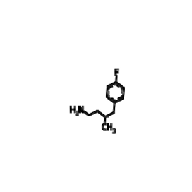 C[C](CCN)Cc1ccc(F)cc1